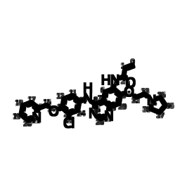 C=CC(=O)Nc1cc2c(Nc3ccc(OCc4ccccn4)c(Cl)c3)ncnc2cc1OCCN1CCCC1